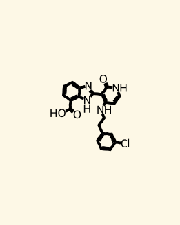 O=C(O)c1cccc2nc(-c3c(NCCc4cccc(Cl)c4)cc[nH]c3=O)[nH]c12